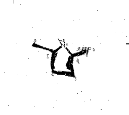 Cc1ccc([18F])[nH]1